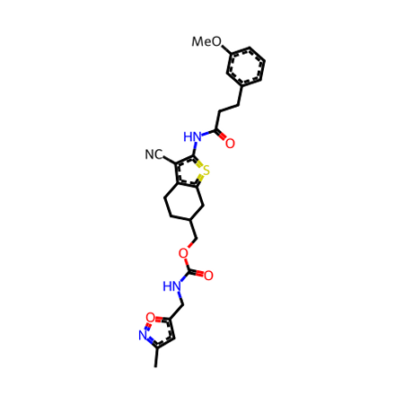 COc1cccc(CCC(=O)Nc2sc3c(c2C#N)CCC(COC(=O)NCc2cc(C)no2)C3)c1